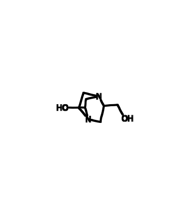 OCC1CN2CCN1CC2O